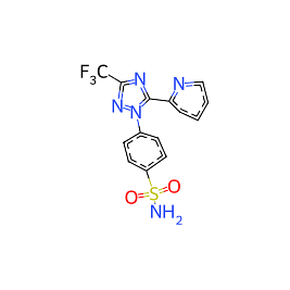 NS(=O)(=O)c1ccc(-n2nc(C(F)(F)F)nc2-c2ccccn2)cc1